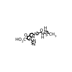 CC1=CNC(NC(=O)C2CN(c3ccc4c(=O)c(C(=O)O)cn(-c5ncns5)c4n3)C2)S1